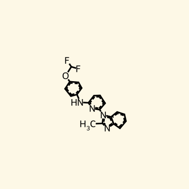 Cc1nc2ccccc2n1-c1cccc(Nc2ccc(OC(F)F)cc2)n1